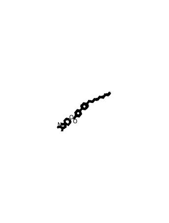 CCCCCCCCCc1ccc(-c2ccc(C(=O)OC3CCC(C#N)(CC(C)CC)CC3)cc2)cc1